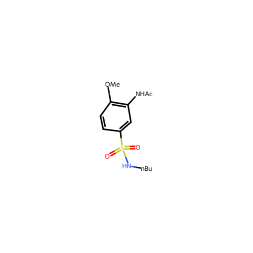 CCCCNS(=O)(=O)c1ccc(OC)c(NC(C)=O)c1